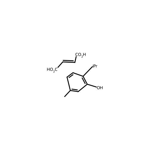 Cc1ccc(C(C)C)c(O)c1.O=C(O)C=CC(=O)O